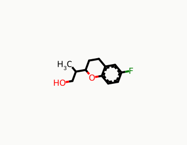 CC(CO)C1CCc2cc(F)ccc2O1